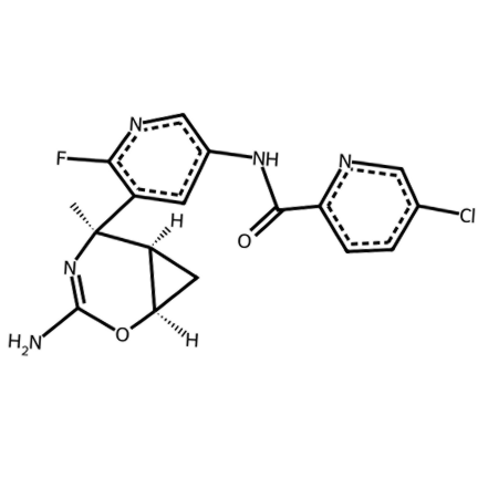 C[C@@]1(c2cc(NC(=O)c3ccc(Cl)cn3)cnc2F)N=C(N)O[C@@H]2C[C@@H]21